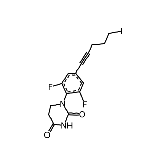 O=C1CCN(c2c(F)cc(C#CCCCI)cc2F)C(=O)N1